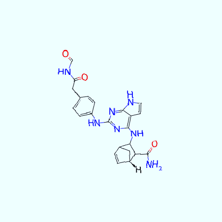 NC(=O)C1C(Nc2nc(Nc3ccc(CC(=O)NC=O)cc3)nc3[nH]ccc23)C2C=C[C@@H]1C2